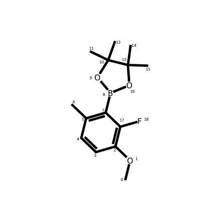 COc1ccc(C)c(B2OC(C)(C)C(C)(C)O2)c1F